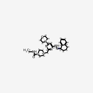 CCNC(=O)N1CCN(Cc2nc(N/N=C3/CCCc4ccccc43)cc(N3CCOCC3)n2)CC1